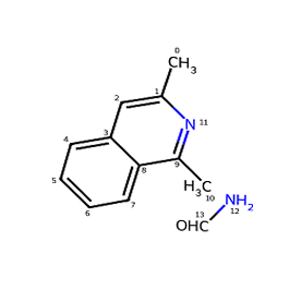 Cc1cc2ccccc2c(C)n1.NC=O